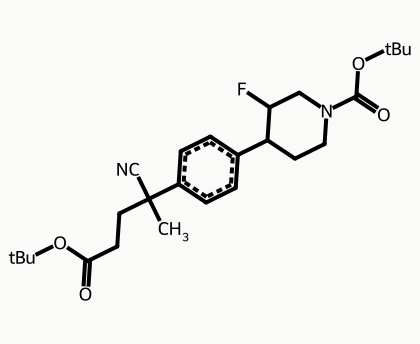 CC(C)(C)OC(=O)CCC(C)(C#N)c1ccc(C2CCN(C(=O)OC(C)(C)C)CC2F)cc1